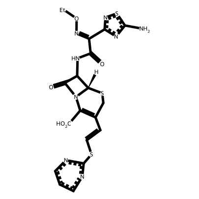 CCON=C(C(=O)NC1C(=O)N2C(C(=O)O)=C(C=CSc3ncccn3)CS[C@@H]12)c1nsc(N)n1